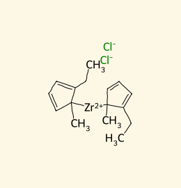 CCC1=CC=C[C]1(C)[Zr+2][C]1(C)C=CC=C1CC.[Cl-].[Cl-]